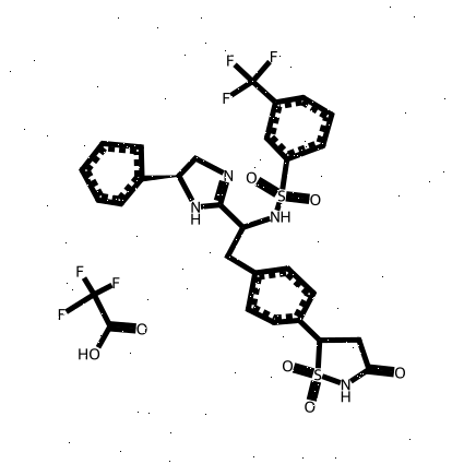 O=C(O)C(F)(F)F.O=C1CC(c2ccc(CC(NS(=O)(=O)c3cccc(C(F)(F)F)c3)C3=NC[C@H](c4ccccc4)N3)cc2)S(=O)(=O)N1